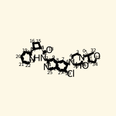 C[C@]1(N2CCN(c3cc4cc(NC(=O)[C@H]5CC[C@@H]5c5ccccn5)ncc4cc3Cl)CC2)COC[C@H]1O